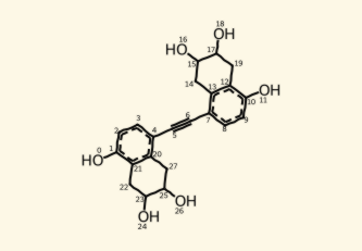 Oc1ccc(C#Cc2ccc(O)c3c2CC(O)C(O)C3)c2c1CC(O)C(O)C2